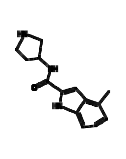 Cc1cccc2[nH]c(C(=O)NC3CCNC3)cc12